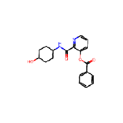 O=C(Oc1cccnc1C(=O)NC1CCC(O)CC1)c1ccccc1